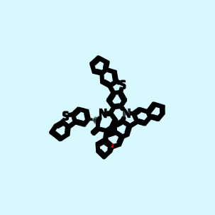 C=C1C(c2ccccc2)=C=CC(c2cc3c(cc2-n2c4cc5ccccc5cc4c4cc5ccccc5cc42)sc2cc4ccccc4cc23)=N[C@H]1c1ccc2sc3ccccc3c2c1